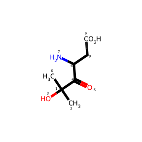 CC(C)(O)C(=O)C(N)CC(=O)O